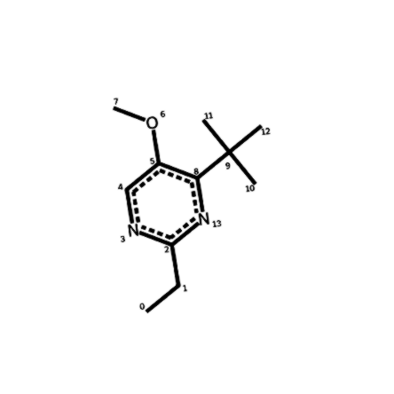 CCc1ncc(OC)c(C(C)(C)C)n1